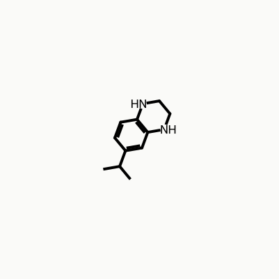 CC(C)c1ccc2c(c1)NCCN2